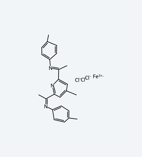 CC(=Nc1ccc(C)cc1)c1cc(C)cc(C(C)=Nc2ccc(C)cc2)n1.[Cl-].[Cl-].[Cl-].[Fe+3]